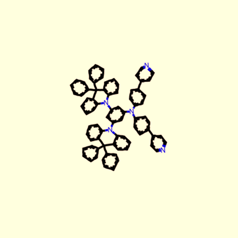 c1ccc(C2(c3ccccc3)c3ccccc3N(c3cc(N(c4ccc(-c5ccncc5)cc4)c4ccc(-c5ccncc5)cc4)cc(N4c5ccccc5C(c5ccccc5)(c5ccccc5)c5ccccc54)c3)c3ccccc32)cc1